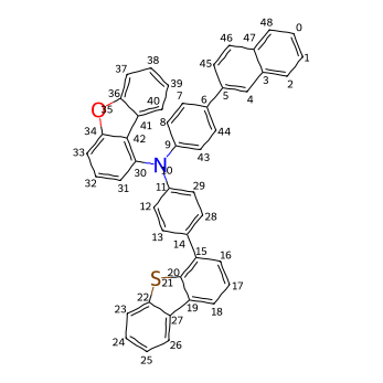 c1ccc2cc(-c3ccc(N(c4ccc(-c5cccc6c5sc5ccccc56)cc4)c4cccc5oc6ccccc6c45)cc3)ccc2c1